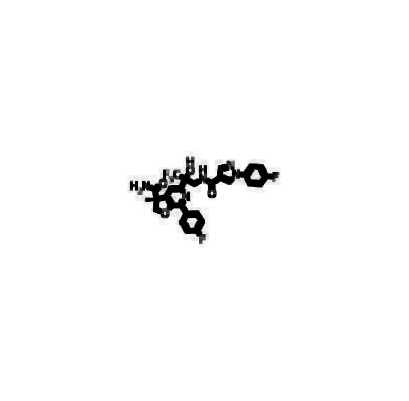 C[C@]1(C(N)=O)COc2c1cc(C(O)(CNC(=O)c1cnn(-c3ccc(F)cc3)c1)C(F)(F)F)nc2-c1ccc(F)cc1